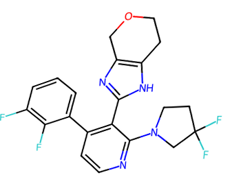 Fc1cccc(-c2ccnc(N3CCC(F)(F)C3)c2-c2nc3c([nH]2)CCOC3)c1F